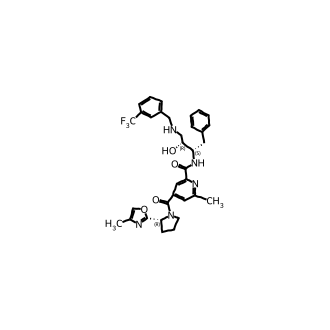 Cc1cc(C(=O)N2CCC[C@@H]2c2nc(C)co2)cc(C(=O)N[C@@H](Cc2ccccc2)[C@H](O)CNCc2cccc(C(F)(F)F)c2)n1